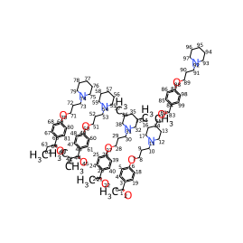 CC(=O)c1ccc(OCCCN2CCC(C)CC2)cc1.CC(=O)c1ccc(OCCCN2C[C@H](C)C[C@H](C)C2)cc1.CC(C)C(=O)c1ccc(OCCCN2CCCCC2)cc1.CCC(=O)c1ccc(OCCCN2CCCCC2)cc1.O=Cc1ccc(OCCCN2CCCCC2)cc1